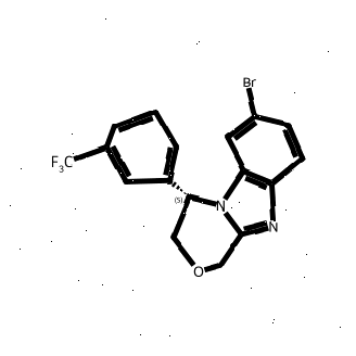 FC(F)(F)c1cccc([C@H]2COCc3nc4ccc(Br)cc4n32)c1